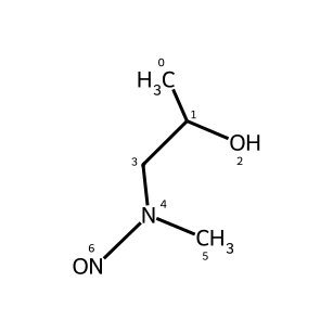 CC(O)CN(C)N=O